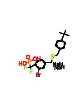 CC(C)(C)c1ccc(CSCc2ccc(C(F)(F)P(=O)(O)O)c(Br)c2)cc1.[NaH].[NaH]